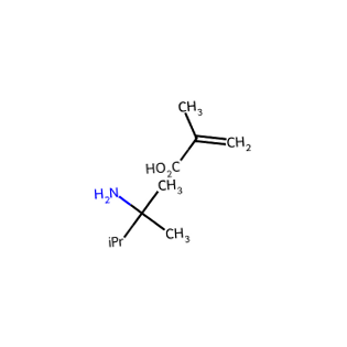 C=C(C)C(=O)O.CC(C)C(C)(C)N